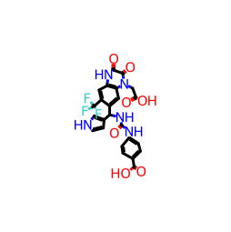 O=C(O)Cn1c(=O)c(=O)[nH]c2cc(C(F)(F)F)c(C(NC(=O)Nc3ccc(C(=O)O)cc3)c3cc[nH]c3)cc21